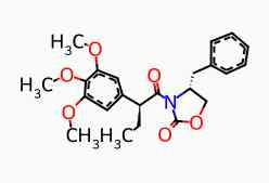 CC[C@H](C(=O)N1C(=O)OC[C@H]1Cc1ccccc1)c1cc(OC)c(OC)c(OC)c1